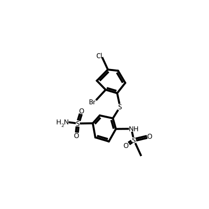 CS(=O)(=O)Nc1ccc(S(N)(=O)=O)cc1Sc1ccc(Cl)cc1Br